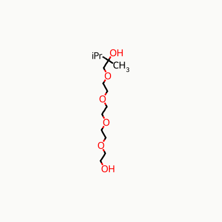 CC(C)C(C)(O)COCCOCCOCCOCCO